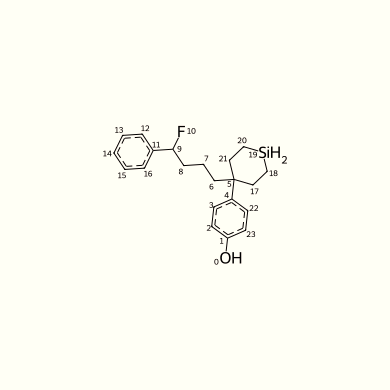 Oc1ccc(C2(CCCC(F)c3ccccc3)CC[SiH2]CC2)cc1